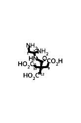 NCC(N)NC(=O)C(CC(=O)O)(CC(=O)O)CC(=O)O